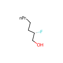 CCCCC[C@H](F)CO